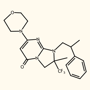 CC(CN1c2nc(N3CCOCC3)cc(=O)n2CC1(C)C(F)(F)F)c1ccccc1